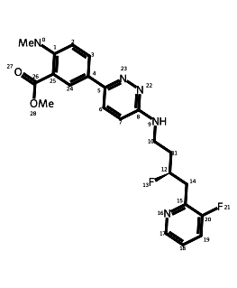 CNc1ccc(-c2ccc(NCC[C@H](F)Cc3ncccc3F)nn2)cc1C(=O)OC